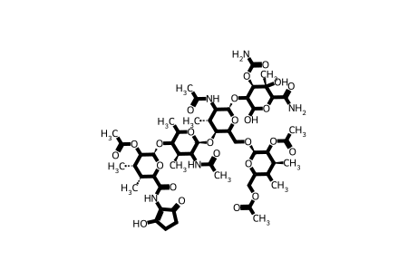 CC(=O)NC1[C@H](O[C@@H]2C(CO[C@@H]3OC(COC(C)=O)C(C)[C@H](C)C3OC(C)=O)O[C@@H](OC3C(O)OC(C(N)=O)[C@@](C)(O)[C@@H]3OC(N)=O)C(NC(C)=O)[C@H]2C)OC(C)C(O[C@@H]2OC(C(=O)NC3=C(O)CCC3=O)[C@H](C)[C@H](C)C2OC(C)=O)[C@@H]1C